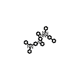 c1ccc(-c2ccc(-c3nc(-c4ccccc4)nc(-n4c5ccccc5c5cc6c(cc54)c4ccccc4n6-c4ccc(-c5cc(-c6ccccc6)nc(-c6ccccc6)n5)cc4)n3)cc2)cc1